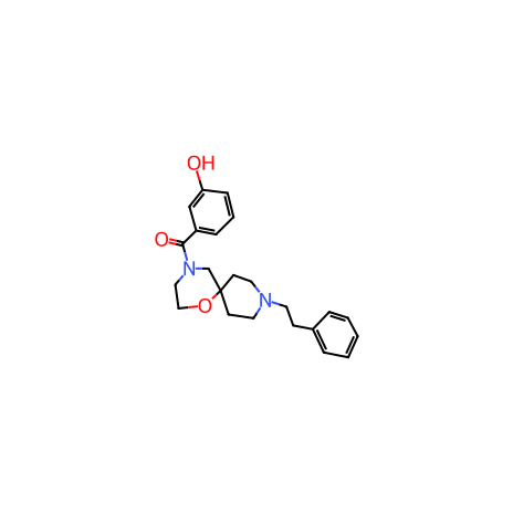 O=C(c1cccc(O)c1)N1CCOC2(CCN(CCc3ccccc3)CC2)C1